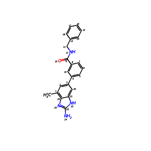 Cc1cc(-c2cccc(C(=O)NCc3ccccc3)c2)cc2[nH]c(N)nc12